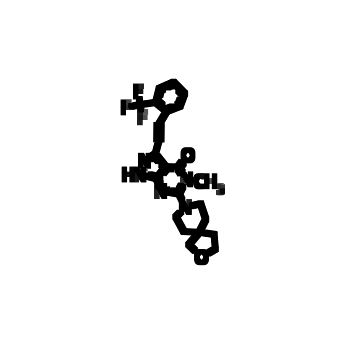 Cn1c(N2CCC3(CCOC3)CC2)nc2[nH]nc(C#Cc3ccccc3C(F)(F)F)c2c1=O